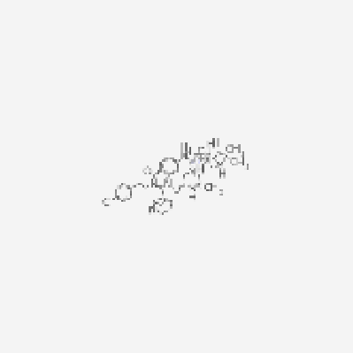 C[C@@H]1[C@@H](/N=C(/Nc2ccc3c(=O)n(CCc4ccc(Cl)cc4)c(C4CN5CCC4CC5)nc3c2)N2CC(=O)N[C@@H](C)C2)C[C@H]2C[C@@H]1C2(C)C